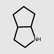 C1CC2CCNC2C1